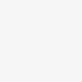 CCCCCCCCCCC[N+](CCCCCC)(CCCCCCCCCCC)CCCCCCCCCCC